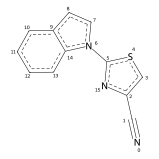 N#Cc1csc(-n2ccc3ccccc32)n1